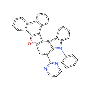 c1ccc(-n2c3ccccc3c3c4c(cc(-c5ncccn5)c32)oc2c3ccccc3c3ccccc3c24)cc1